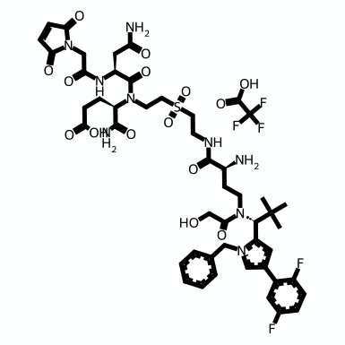 CC(C)(C)[C@H](c1cc(-c2cc(F)ccc2F)cn1Cc1ccccc1)N(CC[C@H](N)C(=O)NCCS(=O)(=O)CCN(C(=O)[C@H](CC(N)=O)NC(=O)CN1C(=O)C=CC1=O)[C@H](CCC(=O)O)C(N)=O)C(=O)CO.O=C(O)C(F)(F)F